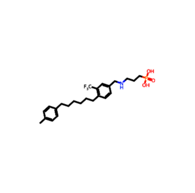 Cc1ccc(CCCCCCc2ccc(CNCCCP(=O)(O)O)cc2C(F)(F)F)cc1